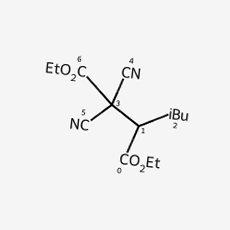 CCOC(=O)C(C(C)CC)C(C#N)(C#N)C(=O)OCC